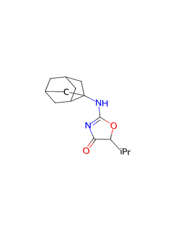 CC(C)C1OC(NC23CC4CC(CC2C4)C3)=NC1=O